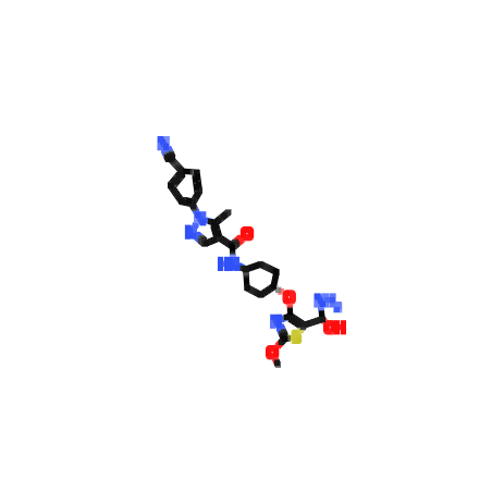 COc1nc(O[C@H]2CC[C@H](NC(=O)c3cnn(-c4ccc(C#N)cc4)c3C)CC2)c(C(N)O)s1